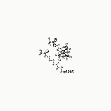 C=C(C)C(=O)OCCCCCCCCCCCCCCCCCC.C=C(C)C(=O)OCCC[Si](O[Si](C)(C)C)(O[Si](C)(C)C)O[Si](C)(C)C